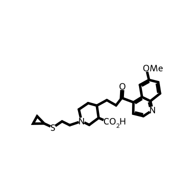 COc1ccc2nccc(C(=O)CCC3CCN(CCSC4CC4)CC3C(=O)O)c2c1